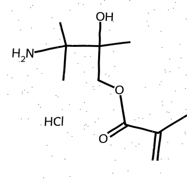 C=C(C)C(=O)OCC(C)(O)C(C)(C)N.Cl